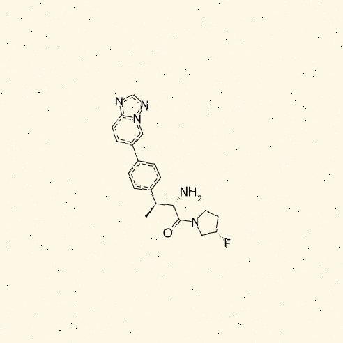 C[C@@H](c1ccc(-c2ccc3ncnn3c2)cc1)[C@H](N)C(=O)N1CC[C@H](F)C1